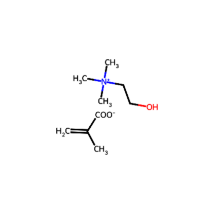 C=C(C)C(=O)[O-].C[N+](C)(C)CCO